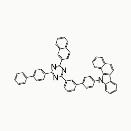 c1ccc(-c2ccc(-c3nc(-c4cccc(-c5ccc(-n6c7ccccc7c7ccc8ccccc8c76)cc5)c4)nc(-c4ccc5ccccc5c4)n3)cc2)cc1